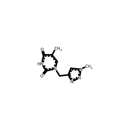 Cc1cn(Cc2cn(C)nn2)c(=O)[nH]c1=O